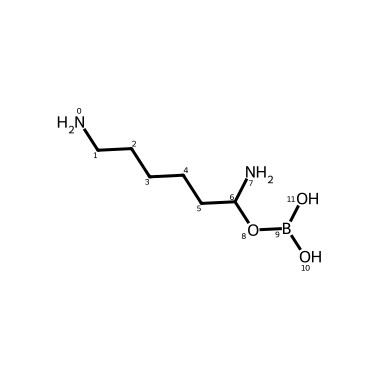 NCCCCCC(N)OB(O)O